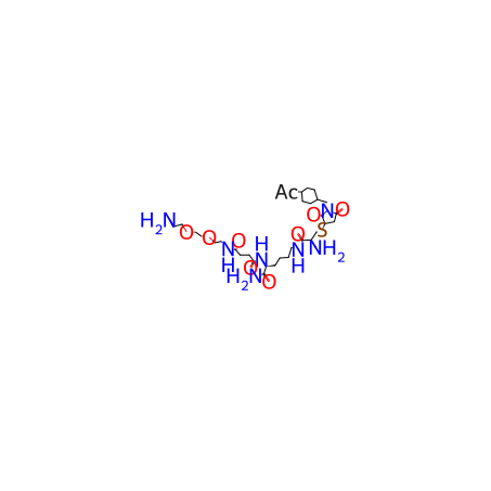 CC(=O)C1CCC(CN2C(=O)CC(SC[C@@H](N)C(=O)NCCCC[C@H](NC(=O)CCC(=O)NCCOCCOCCN)C(N)=O)C2=O)CC1